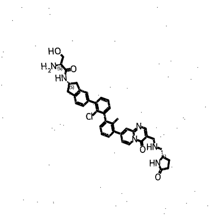 Cc1c(-c2ccn3c(=O)c(CNC[C@@H]4CCC(=O)N4)cnc3c2)cccc1-c1cccc(-c2ccc3c(c2)C[C@@H](NC(=O)[C@@H](N)CO)C3)c1Cl